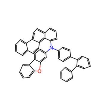 c1ccc(-c2ccccc2-c2ccc(N(c3ccc4c(c3)oc3ccccc34)c3cccc4ccc5c6ccccc6ccc5c34)cc2)cc1